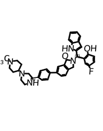 CN1CCC(N2CCN[C@H](c3ccc(-c4ccc5c(c4)C(=O)N([C@@H](c4cc6ccccc6[nH]4)c4cc(F)ccc4O)C5)cc3)C2)CC1